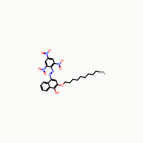 CCCCCCCCCCOc1cc(/N=N/c2c([N+](=O)[O-])cc([N+](=O)[O-])cc2[N+](=O)[O-])c2ccccc2c1O